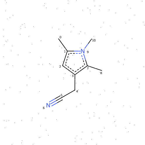 Cc1cc(CC#N)c(C)n1C